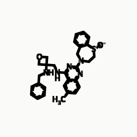 Cc1ccc2nc(N3CC[S+]([O-])c4ccccc4C3)nc(NCC3(NCc4ccccc4)COC3)c2c1